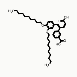 CCCCCCCCCCOc1ccc(/C=C(/C=C\C(=O)O)c2cccc(C(=O)O)c2)cc1OCCCCCCCCCC